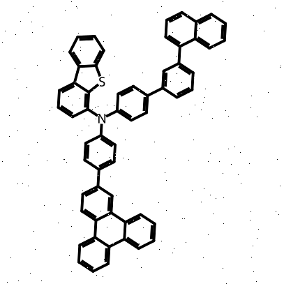 c1cc(-c2ccc(N(c3ccc(-c4ccc5c6ccccc6c6ccccc6c5c4)cc3)c3cccc4c3sc3ccccc34)cc2)cc(-c2cccc3ccccc23)c1